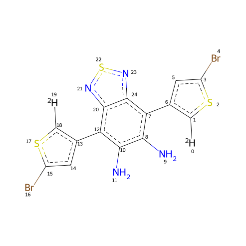 [2H]c1sc(Br)cc1-c1c(N)c(N)c(-c2cc(Br)sc2[2H])c2nsnc12